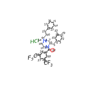 Cc1ccc(CC2CN(CCCc3ccccc3)CCN2C(=O)c2cc(C(F)(F)F)cc(C(F)(F)F)c2)cc1C.Cl